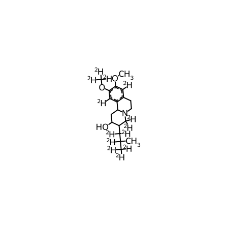 [2H]c1c2c(c([2H])c(OC([2H])([2H])[2H])c1OC)C1CC(O)C(C([2H])([2H])C([2H])(C)C([2H])([2H])[2H])C([2H])([2H])N1CC2